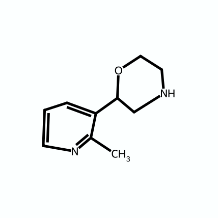 Cc1ncccc1C1CNCCO1